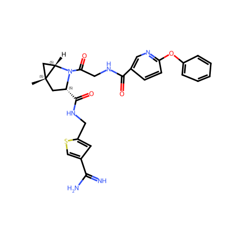 C[C@@]12C[C@@H]1N(C(=O)CNC(=O)c1ccc(Oc3ccccc3)nc1)[C@H](C(=O)NCc1cc(C(=N)N)cs1)C2